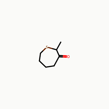 CC1SCCCCC1=O